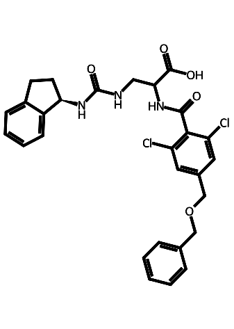 O=C(NCC(NC(=O)c1c(Cl)cc(COCc2ccccc2)cc1Cl)C(=O)O)N[C@@H]1CCc2ccccc21